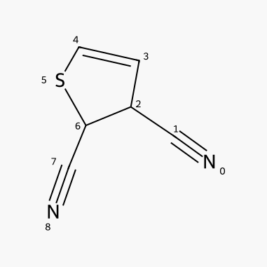 N#CC1C=CSC1C#N